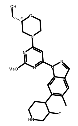 COc1nc(N2CCO[C@@H](CO)C2)cc(-n2ncc3cc(C)c(C4CCNCC4F)cc32)n1